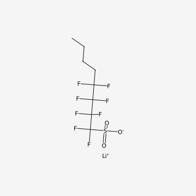 CCCCC(F)(F)C(F)(F)C(F)(F)C(F)(F)S(=O)(=O)[O-].[Li+]